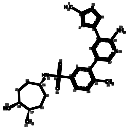 Cc1nc(-c2cc(-c3cc(S(=O)(=O)N[C@@H]4CC[C@H](C)[C@@H](O)CC4)ccc3C)cnc2N)cs1